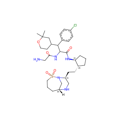 CC1(C)CC(C(c2ccc(Cl)cc2)C(NC(=O)CN)C(=O)N[C@H]2CCC[C@@H]2CC[C@H]2CN[C@@H]3CCCS(=O)(=O)N2C3)CCO1